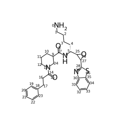 NCCCC[C@@H](NC(=O)C1CCCN(C(=O)CCc2ccccc2)C1)C1OC1c1nc2ccccc2s1